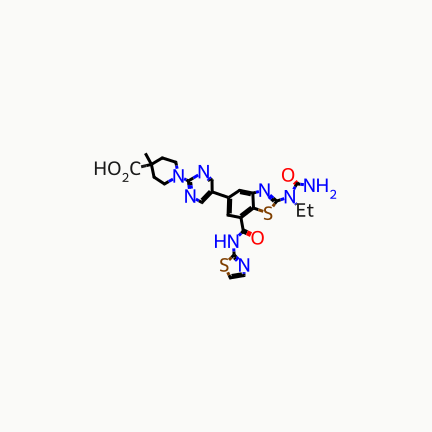 CCN(C(N)=O)c1nc2cc(-c3cnc(N4CCC(C)(C(=O)O)CC4)nc3)cc(C(=O)Nc3nccs3)c2s1